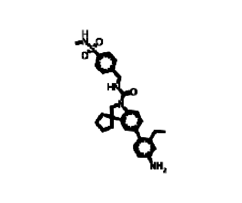 CCc1cc(N)ccc1-c1ccc2c(c1)C1(CCCC1)CN2C(=O)NCc1ccc(S(=O)(=O)NC)cc1